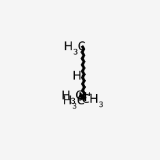 CCCCCCCCCCCCCCCC[N+](C)(C)C.[H]